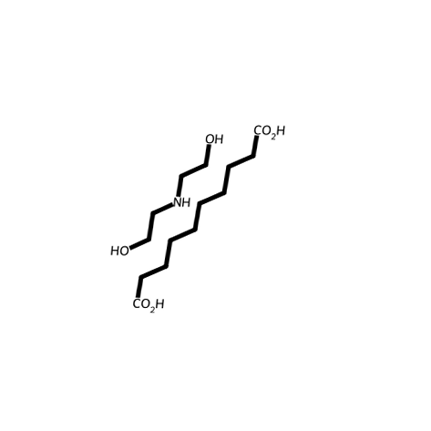 O=C(O)CCCCCCCCC(=O)O.OCCNCCO